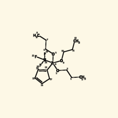 CCC[O][Zr]([O]CCC)([O]CCC)([C]1=CC=CC1)[Si](F)(F)F